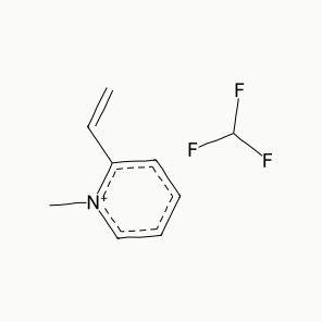 C=Cc1cccc[n+]1C.FC(F)F